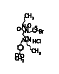 CCCCc1ncc(C=C2C(=O)N(CCCC)C(=O)N2Cc2csc(Br)c2)n1Cc1ccc(C(=O)OC)cc1.Cl